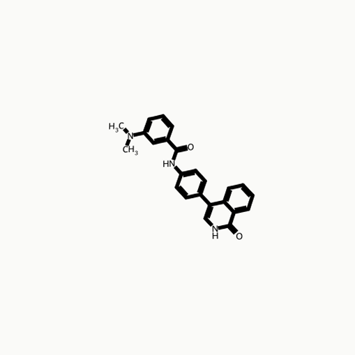 CN(C)c1cccc(C(=O)Nc2ccc(-c3c[nH]c(=O)c4ccccc34)cc2)c1